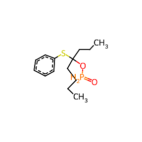 CCCCC(CCC)(O[PH2]=O)Sc1ccccc1